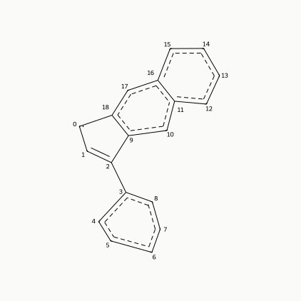 [CH]1C=C(c2ccccc2)c2cc3ccccc3cc21